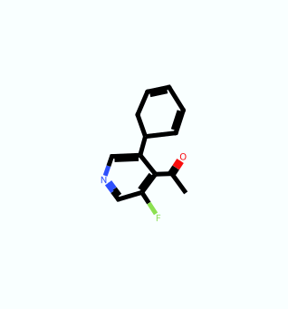 CC(=O)c1c(F)cncc1C1C=CC=CC1